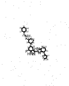 Fc1cc(-c2cncc(CNCc3ccccc3)c2)cc2c(-c3nc4c(-c5cccs5)ccnc4[nH]3)n[nH]c12